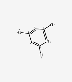 C[CH]c1cc(Cl)nc(Cl)c1